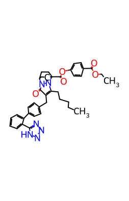 CCCCCc1c(Cc2ccc(-c3ccccc3-c3nnn[nH]3)cc2)c(=O)n2n1C1(C(=O)Oc3ccc(C(=O)OCC)cc3)CCC2CC1